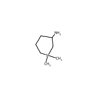 C[Si]1(C)CCCC(N)C1